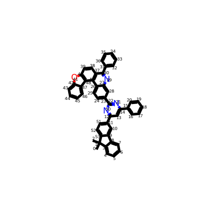 CC1(C)c2ccccc2-c2cc(-c3cc(-c4ccccc4)nc(-c4ccc5c(c4)nc(-c4ccccc4)c4ccc6oc7ccccc7c6c45)n3)ccc21